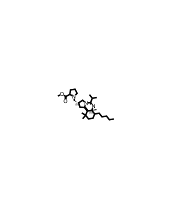 CCCCCC1CCC(C)(C)C2=C3C[C@H](CN4CCCC4C(=O)OC)CN3C(C(C)C)=N[C@@]21C